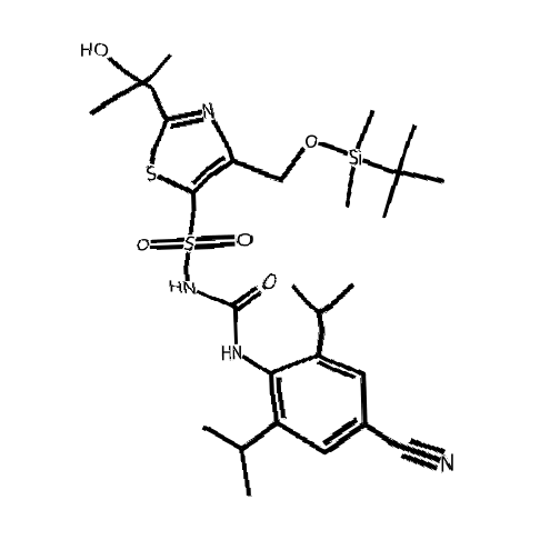 CC(C)c1cc(C#N)cc(C(C)C)c1NC(=O)NS(=O)(=O)c1sc(C(C)(C)O)nc1CO[Si](C)(C)C(C)(C)C